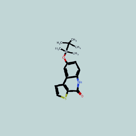 CC(C)(C)[Si](C)(C)Oc1ccc2[nH]c(=O)c3sccc3c2c1